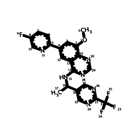 COc1cc(-c2ccc(F)cn2)cc2c(NC(C)c3cnc(C(F)(F)F)nc3)ncnc12